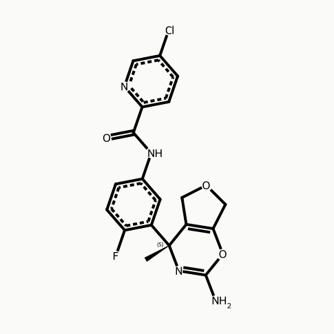 C[C@]1(c2cc(NC(=O)c3ccc(Cl)cn3)ccc2F)N=C(N)OC2=C1COC2